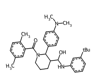 Cc1ccc(C)c(C(=O)N2CCCC(C(O)Nc3cccc(C(C)(C)C)c3)C2c2ccc(N(C)C)cc2)c1